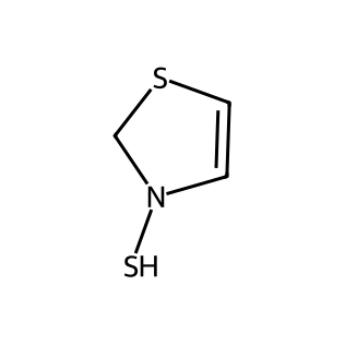 SN1C=CSC1